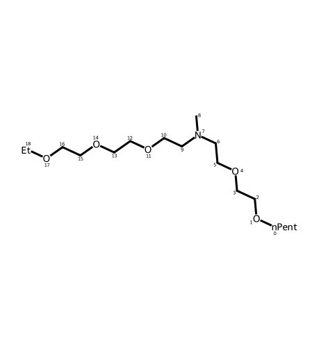 CCCCCOCCOCCN(C)CCOCCOCCOCC